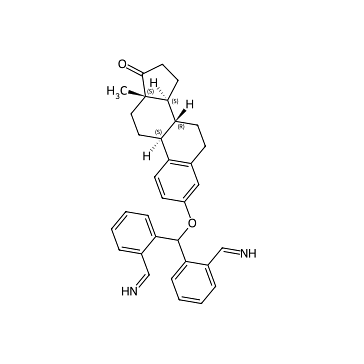 C[C@]12CC[C@@H]3c4ccc(OC(c5ccccc5C=N)c5ccccc5C=N)cc4CC[C@H]3[C@@H]1CCC2=O